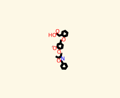 COc1cc(COc2ccccc2CC(=O)O)ccc1OCc1nc(-c2ccccc2)oc1C